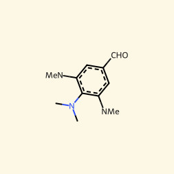 CNc1cc(C=O)cc(NC)c1N(C)C